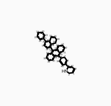 C1=CCNC(C2=CCC(c3c4ccccc4c(-c4ccc(-c5ccccc5)c5c4CCC=C5)c4ccccc34)C=C2)=C1